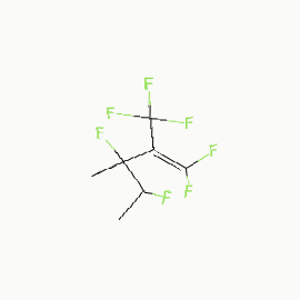 CC(F)C(C)(F)C(=C(F)F)C(F)(F)F